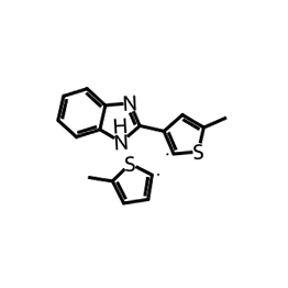 Cc1cc(-c2nc3ccccc3[nH]2)[c]s1.Cc1cc[c]s1